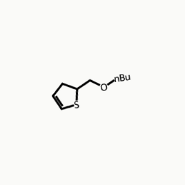 CCCCOCC1CC=CS1